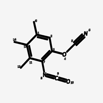 Cc1cc(OC#N)c(N=C=O)c(C)c1C